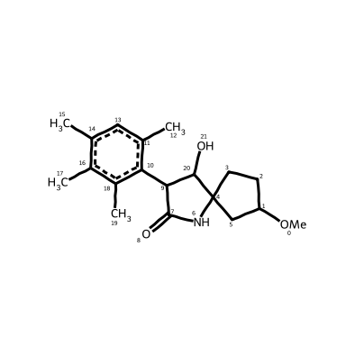 COC1CCC2(C1)NC(=O)C(c1c(C)cc(C)c(C)c1C)C2O